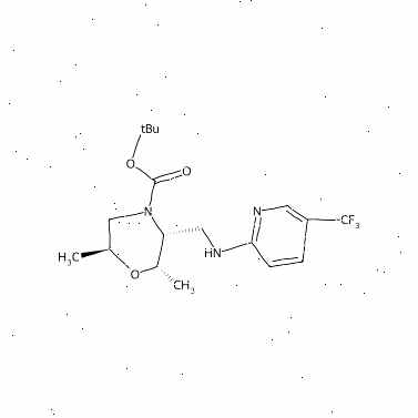 C[C@@H]1O[C@@H](C)CN(C(=O)OC(C)(C)C)[C@@H]1CNc1ccc(C(F)(F)F)cn1